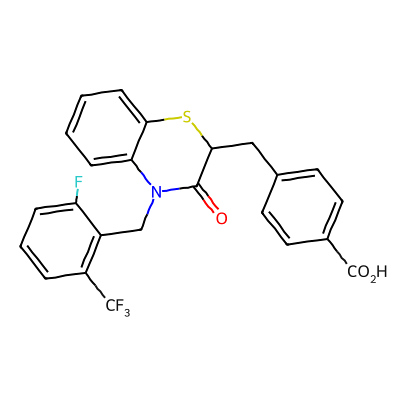 O=C(O)c1ccc(CC2Sc3ccccc3N(Cc3c(F)cccc3C(F)(F)F)C2=O)cc1